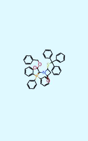 O=C(OCc1ccccc1)C(N1C(=O)CC1SC(c1ccccc1)(c1ccccc1)c1ccccc1)=P(c1ccccc1)(c1ccccc1)c1ccccc1